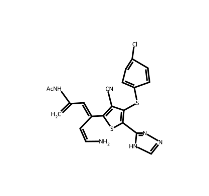 C=C(/C=C(\C=C/N)c1sc(-c2nnc[nH]2)c(Sc2ccc(Cl)cc2)c1C#N)NC(C)=O